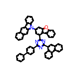 c1ccc(-c2ccc(-c3nc(-c4cc5ccccc5c5ccccc45)nc(-c4cc(-n5c6ccccc6c6cc7ccccc7cc65)cc5oc6ccccc6c45)n3)cc2)cc1